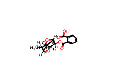 CC1[C@H]2O[C@@H]3[C@@H](OC(=O)c4ccccc4C(=O)O)[C@@H](O[C@H]13)[C@@H]2C